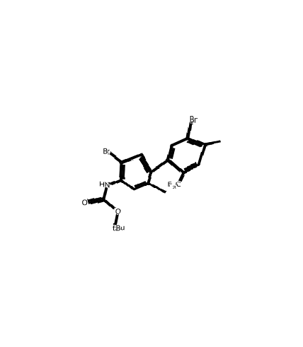 Cc1cc(C(F)(F)F)c(-c2cc(Br)c(NC(=O)OC(C)(C)C)cc2C)cc1Br